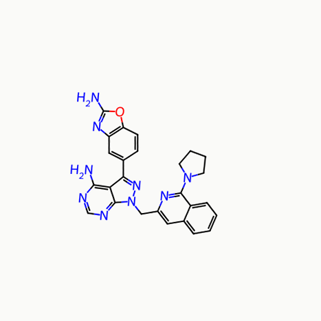 Nc1nc2cc(-c3nn(Cc4cc5ccccc5c(N5CCCC5)n4)c4ncnc(N)c34)ccc2o1